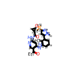 CCC(=O)c1cnc(NC(=O)C2CC2)cc1Nc1cccc(-c2cc(P(C)(C)=O)nn2C)c1OC